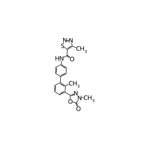 Cc1nnsc1C(=O)Nc1ccc(-c2cccc(-c3nn(C)c(=O)o3)c2C)cc1